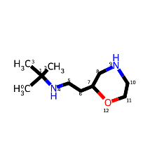 CC(C)(C)NCCC1CNCCO1